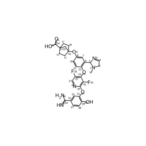 CN1CC=NC1c1cc(OC23CCC(C(=O)O)(CC2)C3)ccc1Oc1c(F)cnc(Oc2cc(C(=N)N)ccc2O)c1F